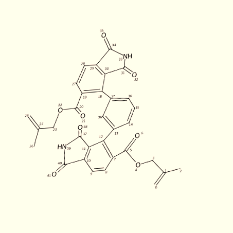 C=C(C)COC(=O)c1ccc2c(c1-c1cccc(-c3c(C(=O)OCC(=C)C)ccc4c3C(=O)NC4=O)c1)C(=O)NC2=O